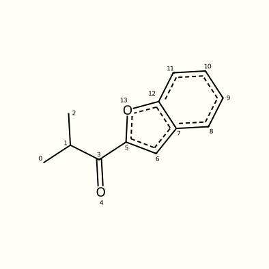 CC(C)C(=O)c1cc2ccccc2o1